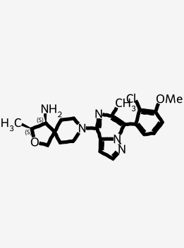 COc1cccc(-c2c(C)nc(N3CCC4(CC3)CO[C@@H](C)[C@H]4N)c3ccnn23)c1Cl